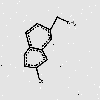 CCc1ccc2ccc(CN)cc2c1